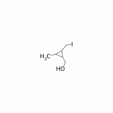 CC1C(CO)C1CI